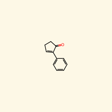 O=C1CCC=C1c1ccccc1